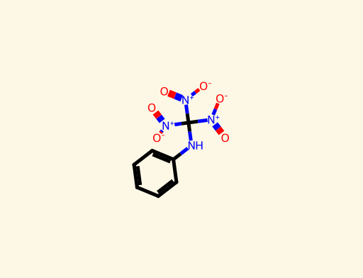 O=[N+]([O-])C(Nc1ccccc1)([N+](=O)[O-])[N+](=O)[O-]